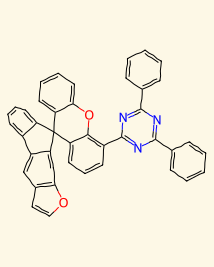 c1ccc(-c2nc(-c3ccccc3)nc(-c3cccc4c3Oc3ccccc3C43c4ccccc4-c4cc5ccoc5cc43)n2)cc1